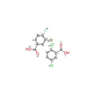 O=C(O)c1cc(Cl)ccc1Cl.O=C(O)c1ccc(F)c(Br)c1